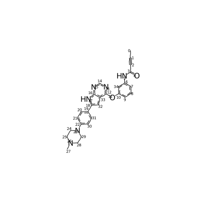 CC#CC(=O)Nc1cccc(Oc2ncnc3[nH]c(-c4ccc(N5CCN(C)CC5)cc4)cc23)c1